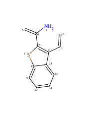 C=Cc1c(C(=C)N)sc2ccccc12